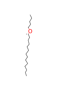 CCCCCCCCCCCCC[CH]OCCCCC